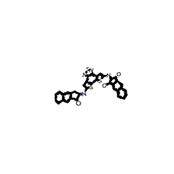 O=C1/C(=N/c2cc3c4nsnc4c4cc(N=c5c(=O)c6cc7ccccc7cc6c5=O)sc4c3s2)Cc2cc3ccccc3cc21